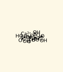 O=P(O)(O)O.O=P([O-])([O-])OP(=O)(O)OP(=O)(O)O.[Ca+2]